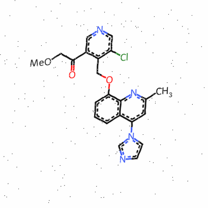 COCC(=O)c1cncc(Cl)c1COc1cccc2c(-n3ccnc3)cc(C)nc12